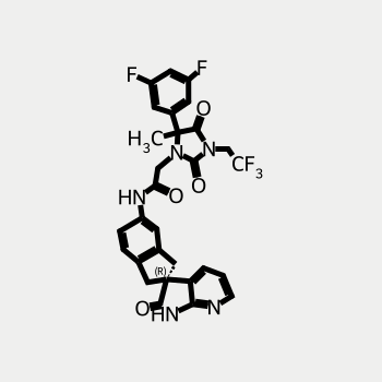 CC1(c2cc(F)cc(F)c2)C(=O)N(CC(F)(F)F)C(=O)N1CC(=O)Nc1ccc2c(c1)C[C@@]1(C2)C(=O)Nc2ncccc21